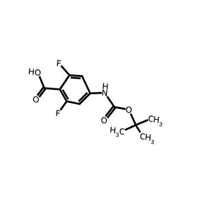 CC(C)(C)OC(=O)Nc1cc(F)c(C(=O)O)c(F)c1